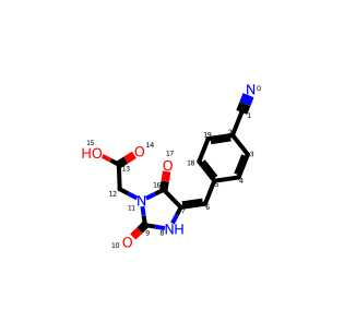 N#Cc1ccc(C=C2NC(=O)N(CC(=O)O)C2=O)cc1